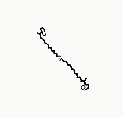 CC(CCCCCCCCCCCCSCCCCCCCCCCCCC(C)C1CCCO1)C1CCCO1